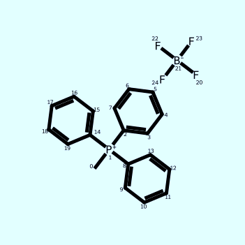 C[P+](c1ccccc1)(c1ccccc1)c1ccccc1.F[B-](F)(F)F